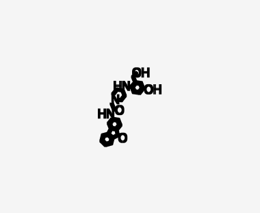 O=C(CN1CCC(Nc2ccc(O)cc2CO)CC1)Nc1ccc2c(c1)-c1ccccc1C2=O